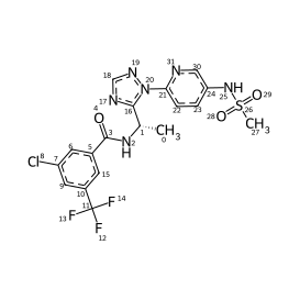 C[C@H](NC(=O)c1cc(Cl)cc(C(F)(F)F)c1)c1ncnn1-c1ccc(NS(C)(=O)=O)cn1